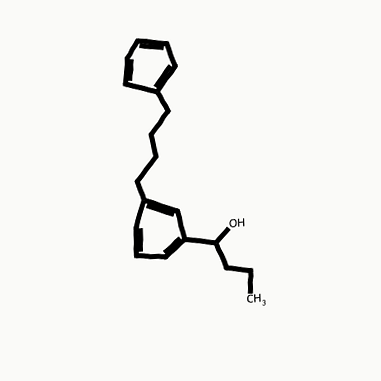 CCCC(O)c1cccc(CCCCc2ccccc2)c1